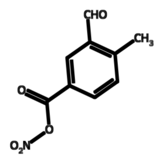 Cc1ccc(C(=O)O[N+](=O)[O-])cc1C=O